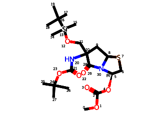 COC(=O)O[C@@H]1CSC2CC(CO[Si](C)(C)C(C)(C)C)(NC(=O)OC(C)(C)C)C(=O)N21